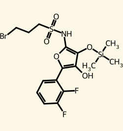 C[Si](C)(C)Oc1c(NS(=O)(=O)CCCBr)oc(-c2cccc(F)c2F)c1O